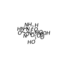 C[C@]1(OP(=O)(O)O)[C@@H](O)[C@](F)(n2cnc3c(=O)[nH]c(N)nc32)O[C@@H]1CO